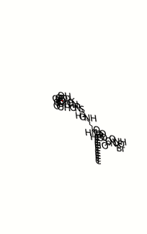 C=C=C=C=C=C=C=C=C=C=C=C(NC(=O)CCCCCNC(=O)CCSC1C=CN(C2OC(COP(=O)(O)OP(=O)(O)OP(=O)(O)O)C(C)C2C)C(=O)N1)OP(=O)(O)OCC1OC(n2cc(Br)c(=O)[nH]c2=O)CC1O